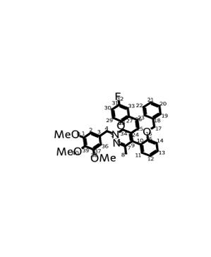 COc1cc(Cn2nc(C)c(-c3ccccc3OCc3ccccc3)c(C=Cc3cccc(F)c3)c2=O)cc(OC)c1OC